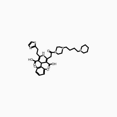 O=C(O)C1=C(CCc2nccs2)NC(CC(=O)N2CCN(CCCCN3CCCCC3)CC2)=C(C(=O)O)C1c1c(Cl)cccc1Cl